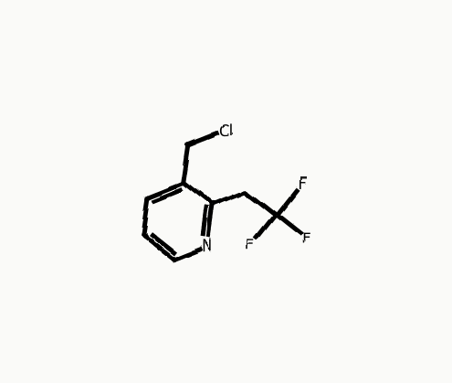 FC(F)(F)Cc1ncccc1CCl